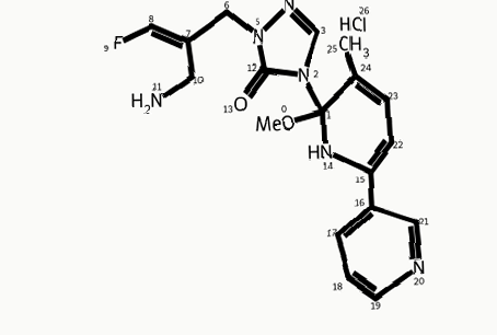 COC1(n2cnn(C/C(=C/F)CN)c2=O)NC(c2cccnc2)=CC=C1C.Cl